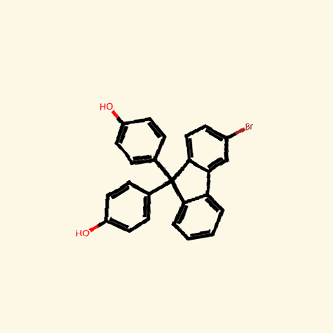 Oc1ccc(C2(c3ccc(O)cc3)c3ccccc3-c3cc(Br)ccc32)cc1